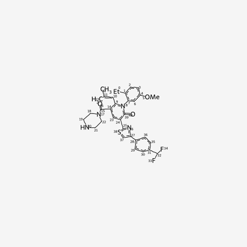 CCc1ccc(OC)cc1-n1c(C=C(C)C)c(C(=O)N2CCNCC2)cc(-c2nc(-c3ccc(C(F)F)cc3)cs2)c1=O